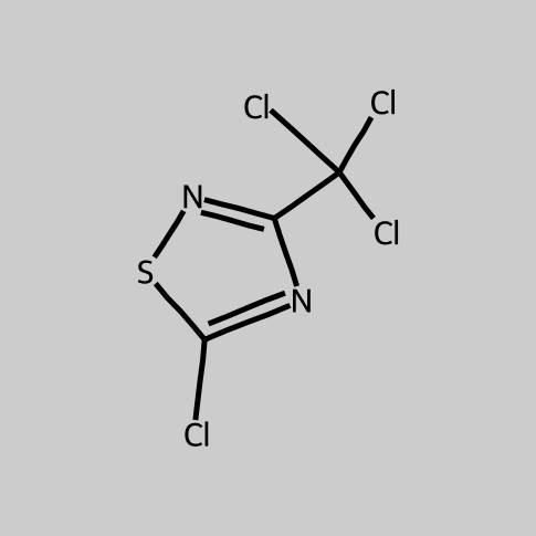 Clc1nc(C(Cl)(Cl)Cl)ns1